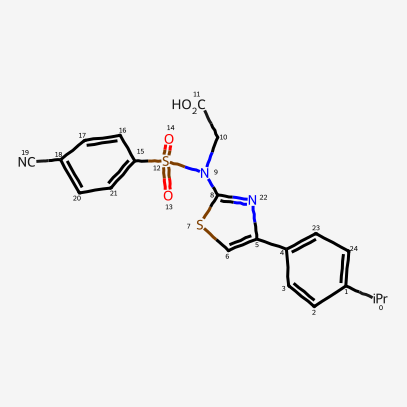 CC(C)c1ccc(-c2csc(N(CC(=O)O)S(=O)(=O)c3ccc(C#N)cc3)n2)cc1